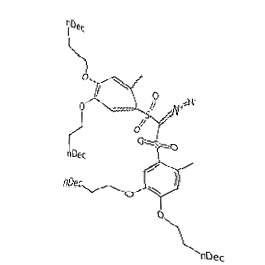 CCCCCCCCCCCCOc1cc(C)c(S(=O)(=O)C(=[N+]=[N-])S(=O)(=O)c2cc(OCCCCCCCCCCCC)c(OCCCCCCCCCCCC)cc2C)cc1OCCCCCCCCCCCC